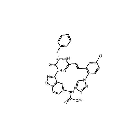 COC(=O)Nc1ccc2onc(NC(=O)[C@H](Cc3ccccc3)NC(=O)C=Cc3cc(Cl)ccc3-n3cnnn3)c2c1